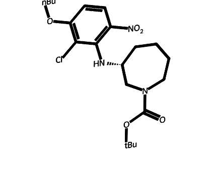 CCCCOc1ccc([N+](=O)[O-])c(N[C@@H]2CCCCN(C(=O)OC(C)(C)C)C2)c1Cl